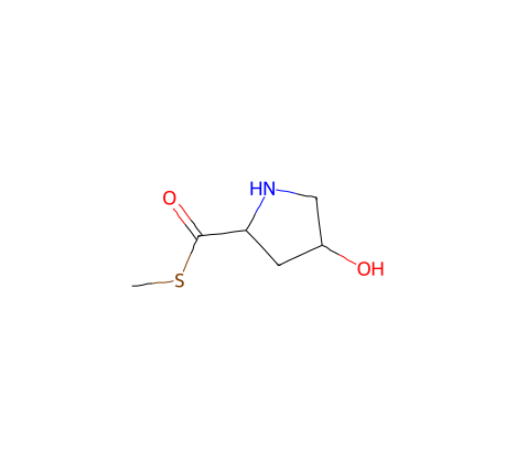 CSC(=O)C1CC(O)CN1